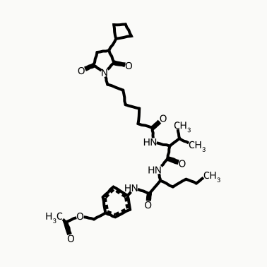 CCCCC(NC(=O)C(NC(=O)CCCCCN1C(=O)CC(C2CCC2)C1=O)C(C)C)C(=O)Nc1ccc(COC(C)=O)cc1